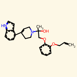 C=CCOc1ccccc1OCC(C)(O)N1CC=C(c2cccc3[nH]ccc23)CC1